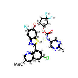 COc1cnc2c(-c3nc4cc(F)c(O[C@@H]5CC(F)(F)C[C@@H]5OC(=O)Nc5cnc(C)nc5)cc4s3)cc(Cl)cc2c1